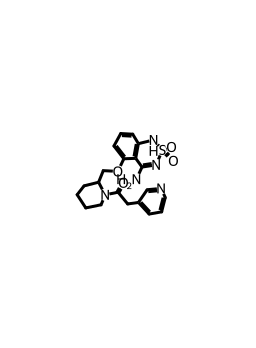 NC1=NS(=O)(=O)Nc2cccc(OCC3CCCCN3C(=O)Cc3cccnc3)c21